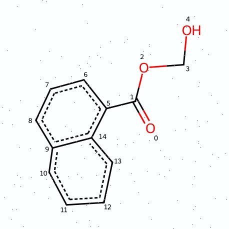 O=C(OCO)c1cccc2ccccc12